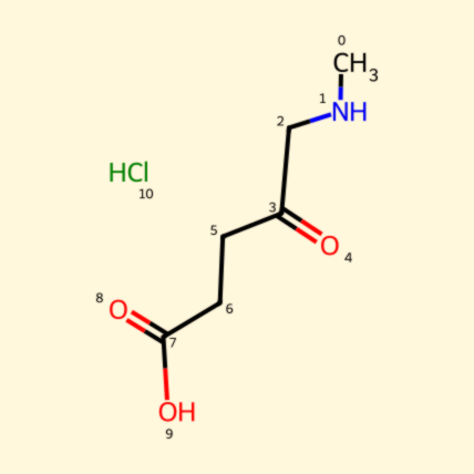 CNCC(=O)CCC(=O)O.Cl